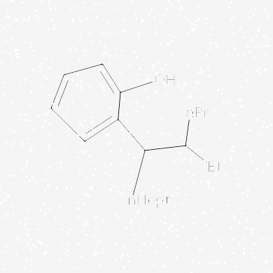 CCCCCCCC(c1ccccc1O)C(CC)CCC